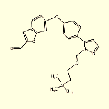 C[Si](C)(C)CCOCn1nccc1-c1ccc(Oc2ccc3cc(C=O)oc3c2)cc1